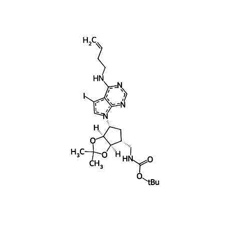 C=CCCNc1ncnc2c1c(I)cn2[C@@H]1C[C@H](CNC(=O)OC(C)(C)C)[C@H]2OC(C)(C)O[C@H]21